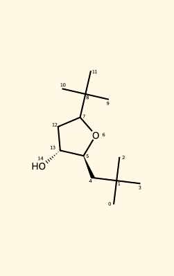 CC(C)(C)C[C@@H]1OC(C(C)(C)C)C[C@H]1O